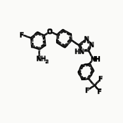 Nc1cc(F)cc(Oc2ccc(-c3nnc(Nc4cccc(C(F)(F)F)c4)[nH]3)cc2)c1